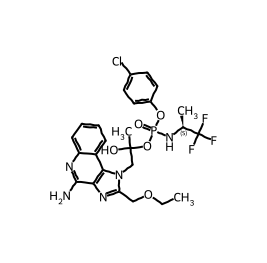 CCOCc1nc2c(N)nc3ccccc3c2n1CC(C)(O)OP(=O)(N[C@@H](C)C(F)(F)F)Oc1ccc(Cl)cc1